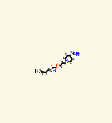 C#CCCNCCOCCCN1CCC(N=[N+]=[N-])CC1